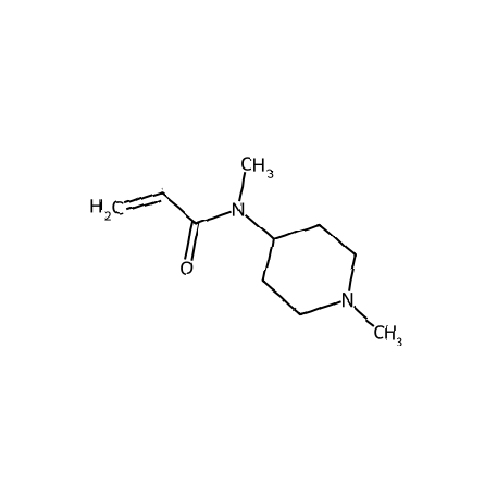 C=[C]C(=O)N(C)C1CCN(C)CC1